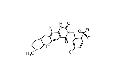 CCS(=O)(=O)c1ccc(Cl)cc1Cn1c(=O)[nH]c2c(F)c(CN3CCN(C)CC3)c(C(F)(F)F)cc2c1=O